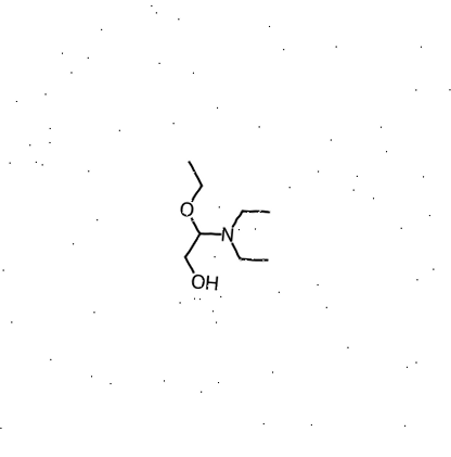 CCOC(CO)N(CC)CC